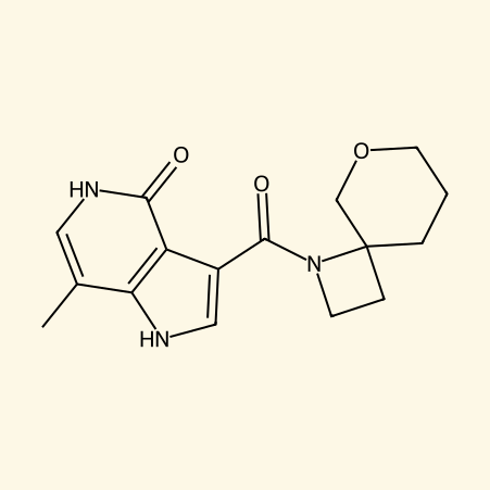 Cc1c[nH]c(=O)c2c(C(=O)N3CCC34CCCOC4)c[nH]c12